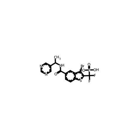 CC(NC(=O)c1ccc2sc(C(F)(F)P(=O)(O)O)c(Br)c2c1)c1cncnc1